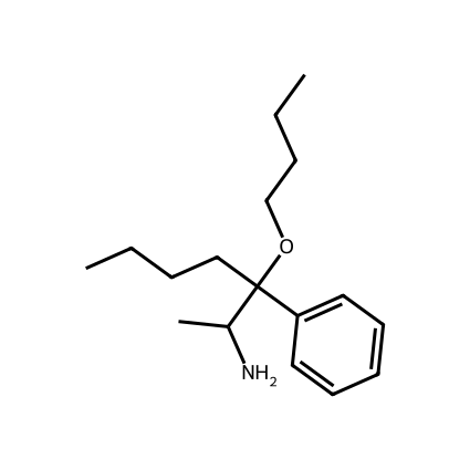 CCCCOC(CCCC)(c1ccccc1)C(C)N